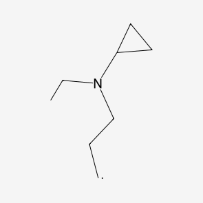 [CH2]CCN(CC)C1CC1